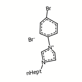 CCCCCCCn1cc[n+](-c2ccc(Br)cc2)c1.[Br-]